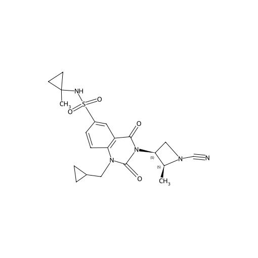 C[C@H]1[C@@H](n2c(=O)c3cc(S(=O)(=O)NC4(C)CC4)ccc3n(CC3CC3)c2=O)CN1C#N